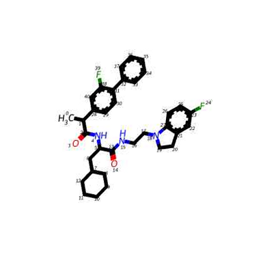 CC(C(=O)NC(CC1CCCCC1)C(=O)NCCN1CCc2cc(F)ccc21)c1ccc(-c2ccccc2)c(F)c1